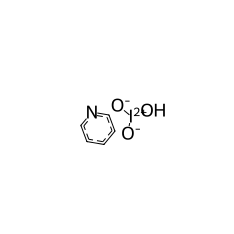 [O-][I+2]([O-])O.c1ccncc1